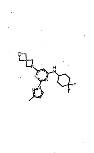 Cc1ccn(-c2nc(NC3CCC(F)(F)CC3)cc(N3CC4(COC4)C3)n2)n1